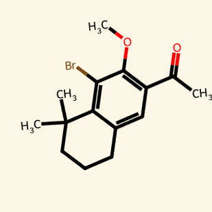 COc1c(C(C)=O)cc2c(c1Br)C(C)(C)CCC2